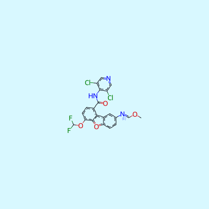 CO/C=N/c1ccc2oc3c(OC(F)F)ccc(C(=O)Nc4c(Cl)cncc4Cl)c3c2c1